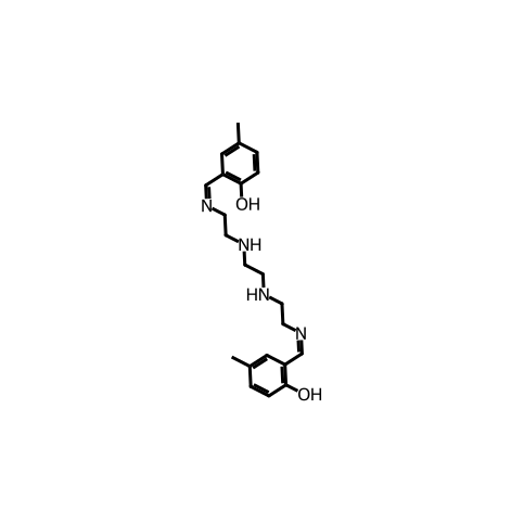 Cc1ccc(O)c(/C=N\CCNCCNCC/N=C\c2cc(C)ccc2O)c1